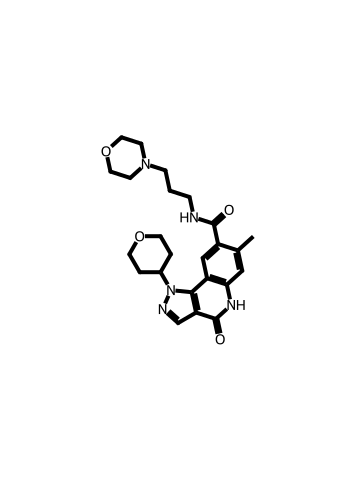 Cc1cc2[nH]c(=O)c3cnn(C4CCOCC4)c3c2cc1C(=O)NCCCN1CCOCC1